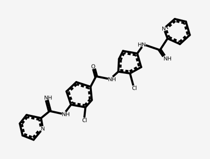 N=C(Nc1ccc(NC(=O)c2ccc(NC(=N)c3ccccn3)c(Cl)c2)c(Cl)c1)c1ccccn1